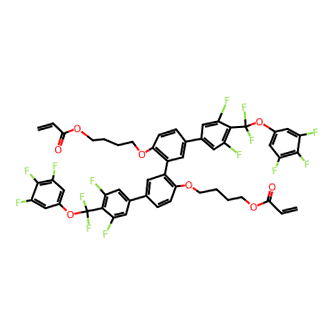 C=CC(=O)OCCCCOc1ccc(-c2cc(F)c(C(F)(F)Oc3cc(F)c(F)c(F)c3)c(F)c2)cc1-c1cc(-c2cc(F)c(C(F)(F)Oc3cc(F)c(F)c(F)c3)c(F)c2)ccc1OCCCCOC(=O)C=C